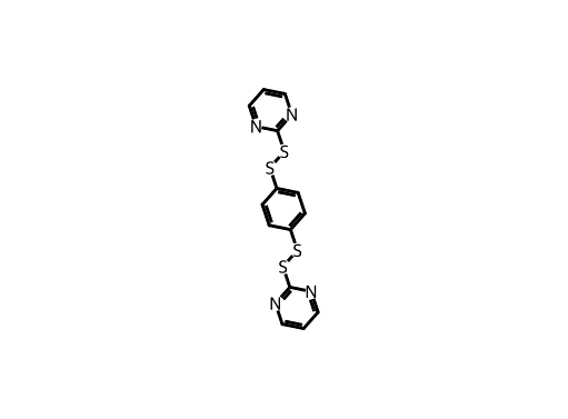 c1cnc(SSc2ccc(SSc3ncccn3)cc2)nc1